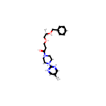 C[C@@H](COCCC(=O)N1CCN(c2ncc(C(F)(F)F)cn2)CC1)OCc1ccccc1